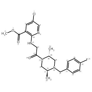 COC(=O)c1cc(Cl)cnc1NCC(=O)N1C[C@H](C)N(Cc2ccc(F)cc2)C[C@H]1C